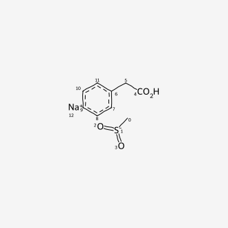 C[S-](=O)=O.O=C(O)Cc1ccccc1.[Na+]